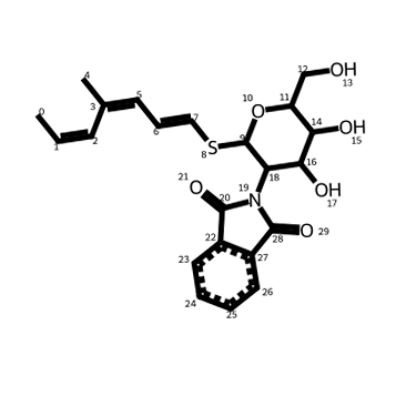 C\C=C/C(C)=C\C=C\SC1OC(CO)C(O)C(O)C1N1C(=O)c2ccccc2C1=O